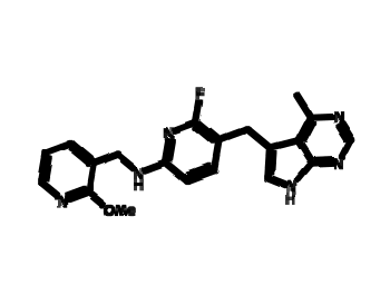 COc1ncccc1CNc1ccc(Cc2c[nH]c3ncnc(C)c23)c(F)n1